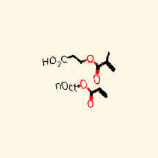 C=C(C)C(=O)OCCC(=O)O.C=CC(=O)OCCCCCCCC